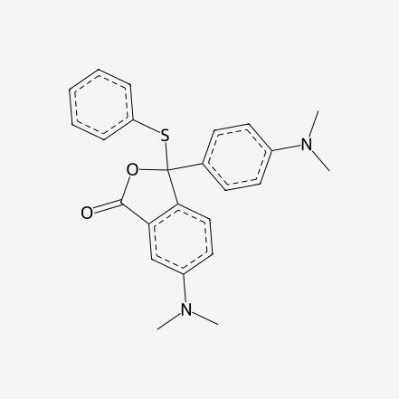 CN(C)c1ccc(C2(Sc3ccccc3)OC(=O)c3cc(N(C)C)ccc32)cc1